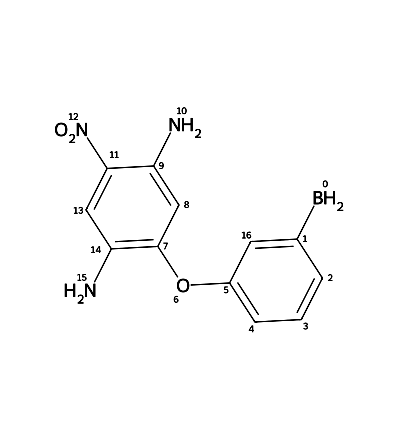 Bc1cccc(Oc2cc(N)c([N+](=O)[O-])cc2N)c1